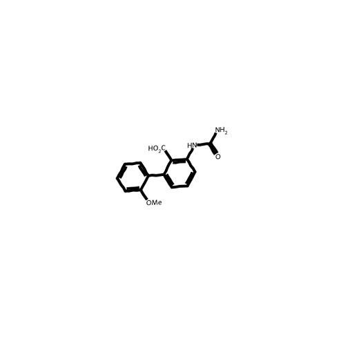 COc1ccccc1-c1cccc(NC(N)=O)c1C(=O)O